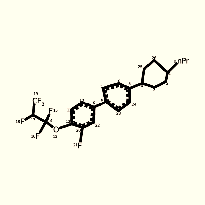 CCCC1CCC(c2ccc(-c3ccc(OC(F)(F)C(F)C(F)(F)F)c(F)c3)cc2)CC1